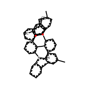 Cc1ccc2c(c1)c1ccccc1n2-c1cccc(C#N)c1-c1c(-c2ccc(C(F)(F)F)cc2C#N)cccc1-n1c2ccccc2c2cc(C)ccc21